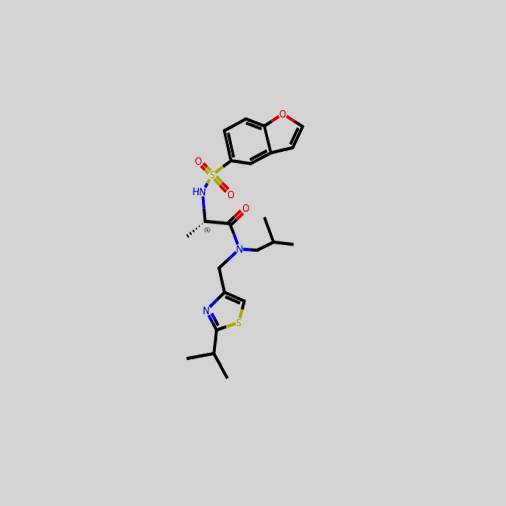 CC(C)CN(Cc1csc(C(C)C)n1)C(=O)[C@H](C)NS(=O)(=O)c1ccc2occc2c1